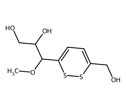 COC(C1=CC=C(CO)SS1)C(O)CO